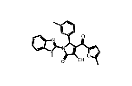 Cc1ccc(C(=O)C2=C(O)C(=O)N(c3nc4ccccc4[nH]3)C2c2cccc(F)c2)o1